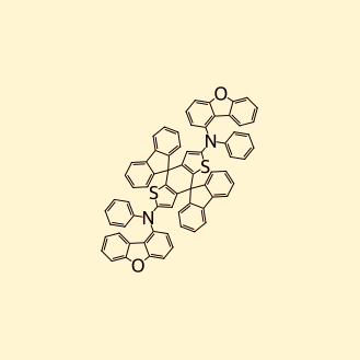 c1ccc(N(c2cc3c(s2)C2(c4ccccc4-c4ccccc42)c2cc(N(c4ccccc4)c4cccc5oc6ccccc6c45)sc2C32c3ccccc3-c3ccccc32)c2cccc3oc4ccccc4c23)cc1